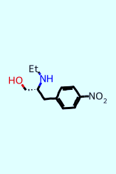 CCN[C@@H](CO)Cc1ccc([N+](=O)[O-])cc1